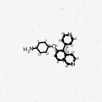 NC1CCC(Oc2ccc3cnccc3c2-c2ccncc2)CC1